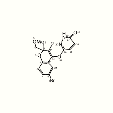 COCC1(C)Oc2ccc(Br)cc2C(Oc2ccc(=O)[nH]n2)=C1C